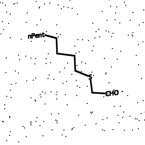 CCCCCCCCCSCC=O